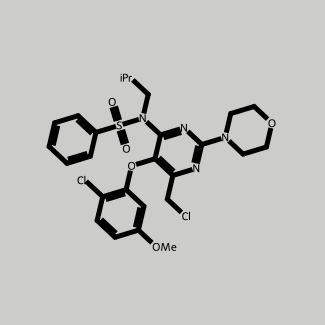 COc1ccc(Cl)c(Oc2c(CCl)nc(N3CCOCC3)nc2N(CC(C)C)S(=O)(=O)c2ccccc2)c1